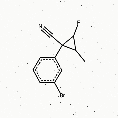 CC1C(F)C1(C#N)c1cccc(Br)c1